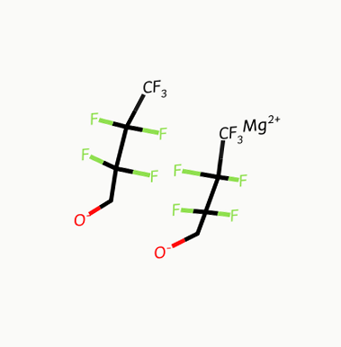 [Mg+2].[O-]CC(F)(F)C(F)(F)C(F)(F)F.[O-]CC(F)(F)C(F)(F)C(F)(F)F